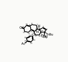 CCCC[C@]1(O)C=C[C@H]2[C@@H]3CCC4=CC(=O)CCC4=C3[C@@H](c3ccc(C(C)=O)cc3)C[C@@]21C